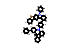 CC1(C)c2ccccc2-c2cccc(N(c3ccc(-c4ccccc4)cc3)c3ccc(-c4cccc5c4c4cc6c(cc4n5-c4ccccc4)sc4ccccc46)cc3)c21